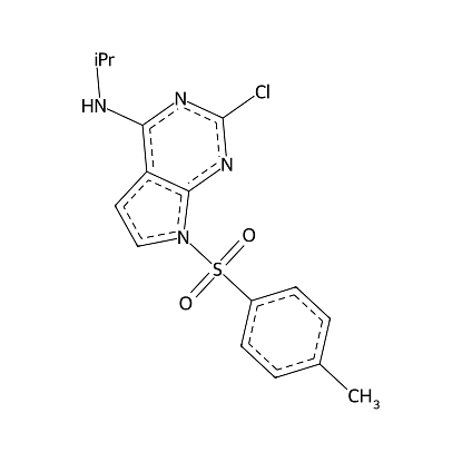 Cc1ccc(S(=O)(=O)n2ccc3c(NC(C)C)nc(Cl)nc32)cc1